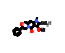 CCOc1c(C(=O)O)n(C)c2cc(C)n(CC(=O)c3ccccc3)c(=O)c12